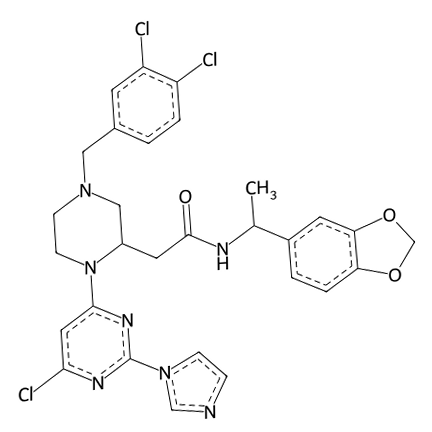 CC(NC(=O)CC1CN(Cc2ccc(Cl)c(Cl)c2)CCN1c1cc(Cl)nc(-n2ccnc2)n1)c1ccc2c(c1)OCO2